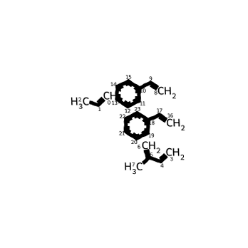 C=CC.C=CC(=C)C.C=Cc1ccccc1.C=Cc1ccccc1